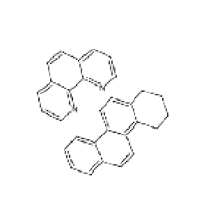 c1ccc2c(c1)ccc1c3c(ccc12)CCCC3.c1cnc2c(c1)ccc1cccnc12